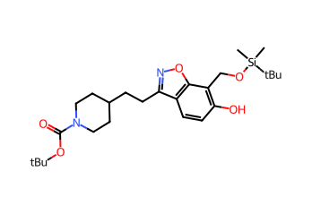 CC(C)(C)OC(=O)N1CCC(CCc2noc3c(CO[Si](C)(C)C(C)(C)C)c(O)ccc23)CC1